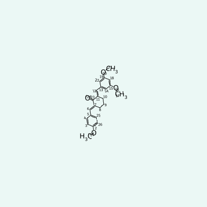 COc1ccc(C=C2CCCC(=Cc3cc(OC)cc(OC)c3)C2=O)cc1